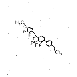 CCCc1ccc(-c2ccc(CCc3ccc(OCC)c(F)c3F)c(C(F)(F)F)c2F)cc1